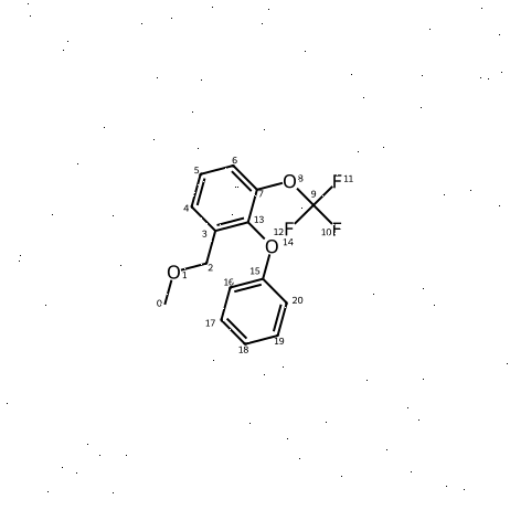 COCc1cccc(OC(F)(F)F)c1Oc1ccccc1